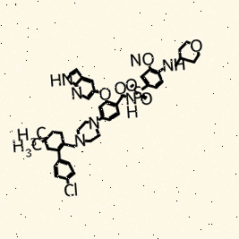 CC1(C)CCC(CN2CCN(c3ccc(C(=O)NS(=O)(=O)c4ccc(NCC5CCOCC5)c(N=O)c4)c(Oc4cnc5[nH]ccc5c4)c3)CC2)=C(c2ccc(Cl)cc2)C1